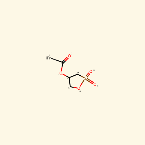 CC(C)C(=O)OC1COS(=O)(=O)C1